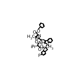 Cc1oc([C@@H](Cc2cn(C)c3ccccc23)NC(=O)[C@@H](C(=O)ON2CCc3ccc(F)cc32)C(C)C)nc1C(=O)OCc1ccccc1